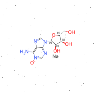 Nc1c2ncn([C@@H]3O[C@H](CO)[C@@H](O)[C@H]3O)c2nc[n+]1[O-].[Na]